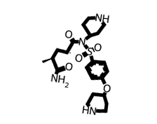 C[C@@H](C[CH]C(=O)N(C1CCNCC1)S(=O)(=O)c1ccc(OC2CCNCC2)cc1)C(N)=O